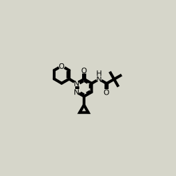 CC(C)(C)C(=O)Nc1cc(C2CC2)nn(C2=COCCC2)c1=O